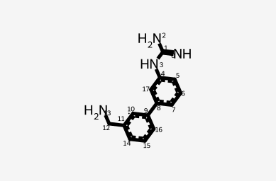 N=C(N)Nc1cccc(-c2[c]c(CN)ccc2)c1